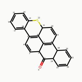 O=C1C2C=CC3=C4C2=C(C=CC4Sc2ccccc23)C2C=CC=CC12